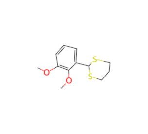 COc1cccc(C2SCCCS2)c1OC